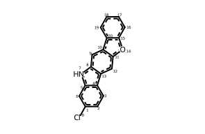 Clc1ccc2c(c1)[nH]c1cc3c(cc12)oc1ccccc13